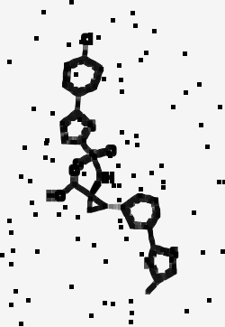 Cc1csc(-c2cccc([C@@H]3C[C@]3(NS(=O)(=O)c3ccc(-c4ccc(Cl)cc4)s3)C(=O)O)c2)n1